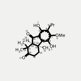 COc1c(O)c2c(c(O)c1C(C)C)C(=O)[C@@H]1C(C)(C)C(=O)CC[C@]21C